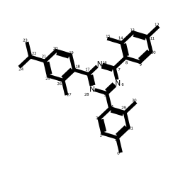 Cc1ccc(-c2nc(-c3ccc(C)cc3C)nc(-c3ccc(C(C)C)cc3C)n2)c(C)c1